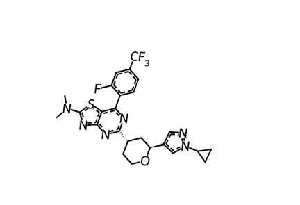 CN(C)c1nc2nc([C@H]3CCO[C@H](c4cnn(C5CC5)c4)C3)nc(-c3ccc(C(F)(F)F)cc3F)c2s1